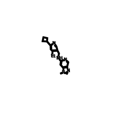 CCc1cc(C2CCC2)ncc1CNc1cc2c(cn1)ncn2C